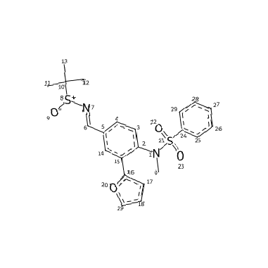 CN(c1ccc(/C=N/[S+]([O-])C(C)(C)C)cc1-c1ccco1)S(=O)(=O)c1ccccc1